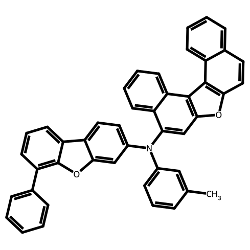 Cc1cccc(N(c2ccc3c(c2)oc2c(-c4ccccc4)cccc23)c2cc3oc4ccc5ccccc5c4c3c3ccccc23)c1